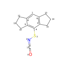 O=C=NSc1c2c(cc3c1CCC3)CCC2